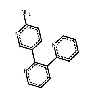 Nc1ccc(-c2ncccc2-c2ccccn2)cn1